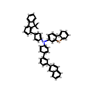 CC1(C)c2ccccc2-c2cccc(-c3ccc(N(c4ccc(-c5cccc(-c6ccc7ccccc7c6)c5)cc4)c4ccc5c(c4)sc4ccccc45)cc3)c21